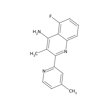 Cc1ccnc(-c2nc3cccc(F)c3c(N)c2C)c1